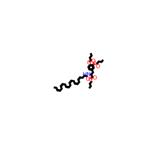 CC/C=C\C/C=C\C/C=C\C/C=C\C/C=C\C/C=C\CCC(=O)NC(Cc1ccc(OC(=O)CCC)c(OC(=O)CCC)c1)C(=O)OCCCC